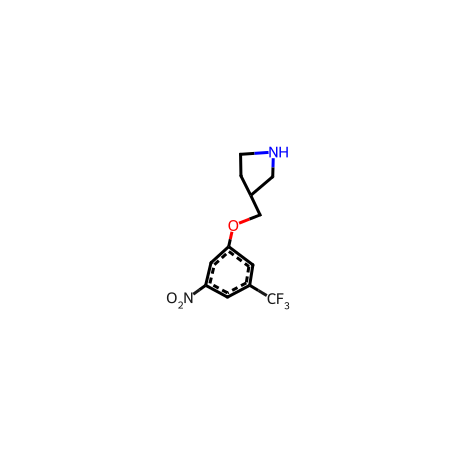 O=[N+]([O-])c1cc(OCC2CCNC2)cc(C(F)(F)F)c1